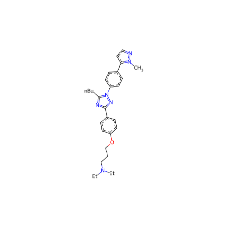 CCCCc1nc(-c2ccc(OCCCN(CC)CC)cc2)nn1-c1ccc(-c2ccnn2C)cc1